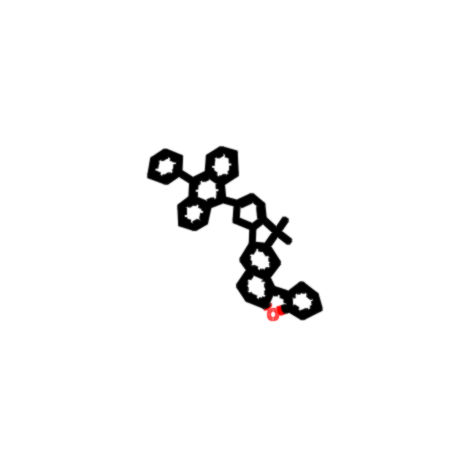 CC1(C)C2=CC=C(c3c4ccccc4c(-c4ccccc4)c4ccccc34)CC2c2cc3ccc4oc5ccccc5c4c3cc21